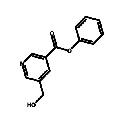 O=C(Oc1ccccc1)c1cncc(CO)c1